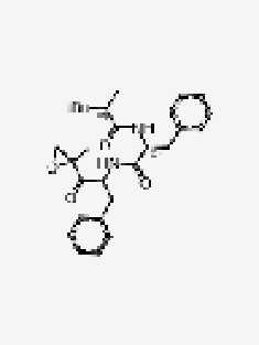 CCC(C)[C@@H](C)C(=O)N[C@@H](Cc1ccccc1)C(=O)NC(Cc1ccccc1)C(=O)C1(C)CO1